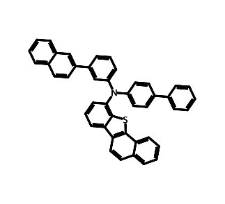 c1ccc(-c2ccc(N(c3cccc(-c4ccc5ccccc5c4)c3)c3cccc4c3sc3c5ccccc5ccc43)cc2)cc1